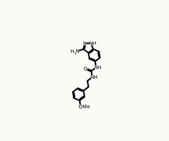 COc1cccc(CCNC(=O)Nc2ccc3[nH]nc(N)c3c2)c1